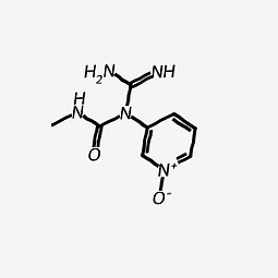 CNC(=O)N(C(=N)N)c1ccc[n+]([O-])c1